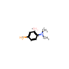 B.CN(C)c1ccc(P)cc1